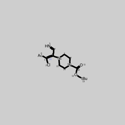 CC(=O)/C(Cl)=C(\C=N)N1CCN(C(=O)OC(C)(C)C)CC1